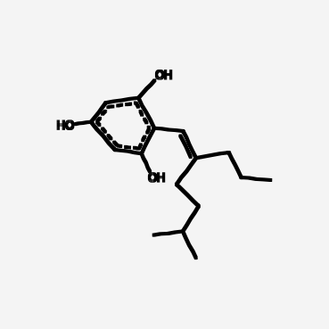 CCCC(=Cc1c(O)cc(O)cc1O)CCC(C)C